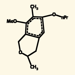 CCCOc1cc2c(c(OC)c1C)COC(C)C2